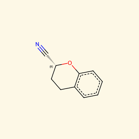 N#C[C@H]1CCc2ccccc2O1